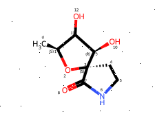 C[C@@H]1O[C@@]2(CCNC2=O)[C@H](O)C1O